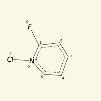 Fc1cccc[n+]1Cl